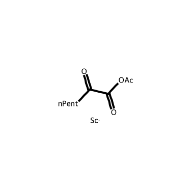 CCCCCC(=O)C(=O)OC(C)=O.[Sc]